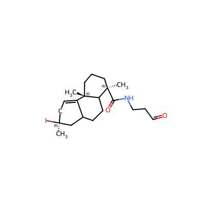 C[C@]1(I)CC=C2C(CCC3[C@](C)(C(=O)NCCC=O)CCC[C@@]23C)C1